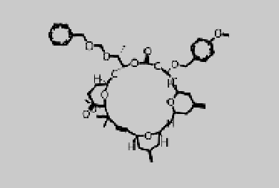 C=C1C[C@@H]2C[C@@H]3CC(=C)C[C@H](/C=C/C(C)(C)[C@]4(OC)O[C@@H](CCC4=O)C[C@H]([C@@H](C)OCOCc4ccccc4)OC(=O)C[C@H](OCc4ccc(OC)cc4)C[C@H](C1)O2)O3